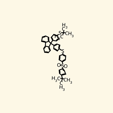 CC(C)(C)Sc1ccc(C2(c3ccc(Sc4ccc(S(=O)(=O)c5ccc(C(C)(C)C)cc5)cc4)cc3)c3ccccc3-c3ccccc32)cc1